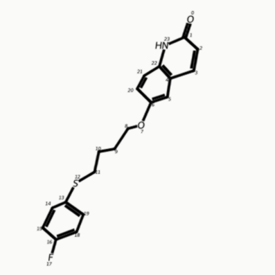 O=c1ccc2cc(OCCCCSc3ccc(F)cc3)ccc2[nH]1